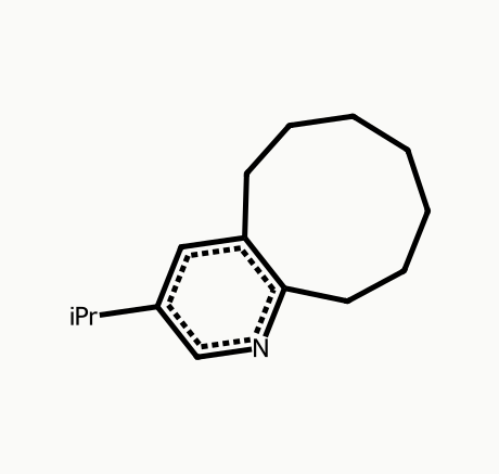 CC(C)c1cnc2c(c1)CCCCCCC2